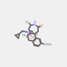 CCC1C[C@@]2(O)[C@H]3Cc4ccc(OC)cc4[C@@]2(CCN3CC2CC2)CC(=O)N1